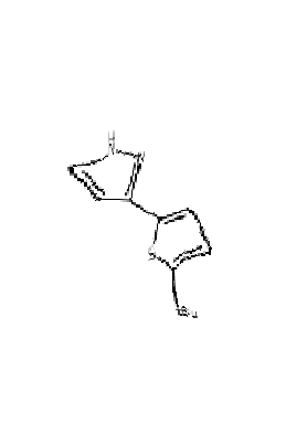 CC(C)(C)c1ccc(-c2cc[nH]n2)s1